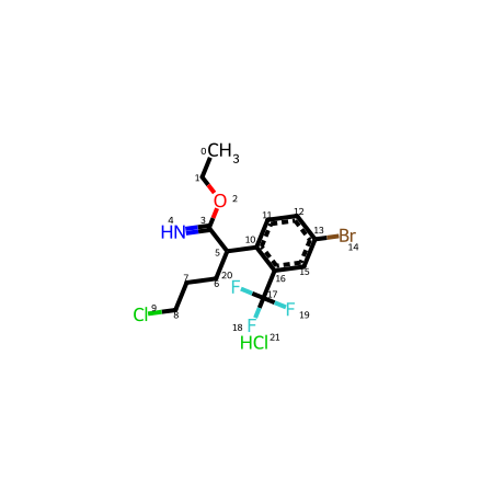 CCOC(=N)C(CCCCl)c1ccc(Br)cc1C(F)(F)F.Cl